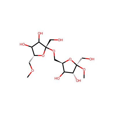 COC[C@H]1O[C@@](CO)(OC[C@H]2O[C@@](CO)(OC)[C@H](O)C2O)C(O)C1O